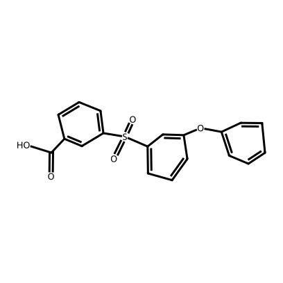 O=C(O)c1cccc(S(=O)(=O)c2cccc(Oc3ccccc3)c2)c1